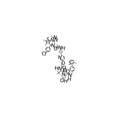 Cc1ccsc1-c1ccc([C@H](C)NC(=O)C2C[C@@H](O)CN2C(=O)[C@@H](NC(=O)COc2ccc(C3CC(NC(=O)C[C@@H]4N=C(c5ccc(Cl)cc5)c5c(sc(C)c5C)-n5c(C)nnc54)C3)nc2)C(C)(C)C)cc1